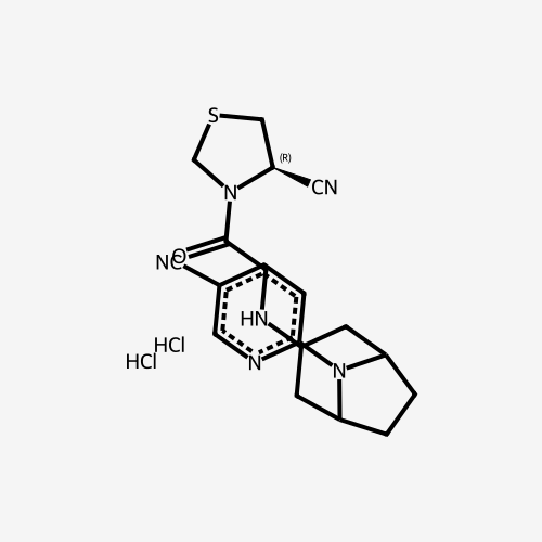 Cl.Cl.N#Cc1ccc(N2C3CCC2CC(NCC(=O)N2CSC[C@H]2C#N)C3)nc1